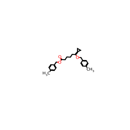 Cc1ccc(COC(=O)CCCCC(OCc2ccc(C)cc2)=C2CC2)cc1